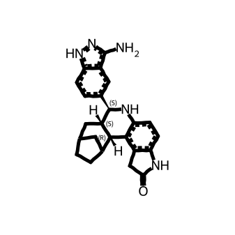 Nc1n[nH]c2ccc([C@H]3Nc4ccc5c(c4[C@@H]4C6CCC(C6)C[C@H]34)CC(=O)N5)cc12